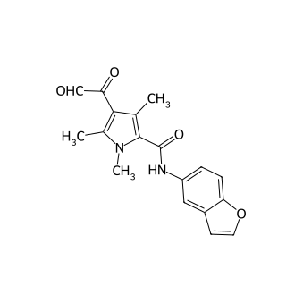 Cc1c(C(=O)C=O)c(C)n(C)c1C(=O)Nc1ccc2occc2c1